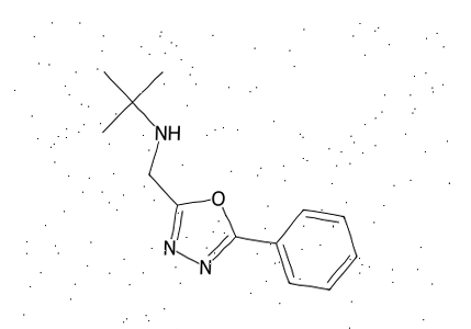 CC(C)(C)NCc1nnc(-c2ccccc2)o1